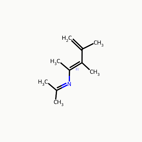 C=C(C)/C(C)=C(\C)N=C(C)C